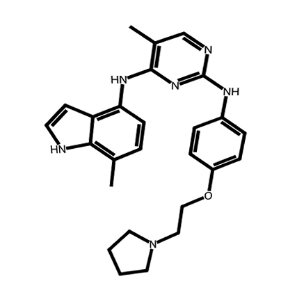 Cc1cnc(Nc2ccc(OCCN3CCCC3)cc2)nc1Nc1ccc(C)c2[nH]ccc12